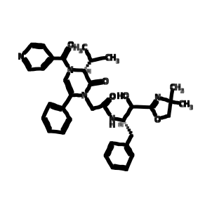 CC(C)[C@@H]1C(=O)N(CC(=O)N[C@@H](Cc2ccccc2)C(O)C2=NC(C)(C)CO2)C(c2ccccc2)=CN1C(=O)c1ccncc1